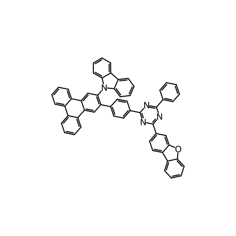 c1ccc(-c2nc(-c3ccc(-c4cc5c6ccccc6c6ccccc6c5cc4-n4c5ccccc5c5ccccc54)cc3)nc(-c3ccc4c(c3)oc3ccccc34)n2)cc1